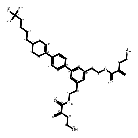 C=C(CCO)C(=O)OCCc1cc(CCOC(=O)C(=C)CCO)cc(-c2ccc(C3=CCC(CCCCC(F)(F)F)CC3)cc2)c1